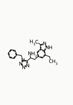 CCc1cc(CC(N)c2nnnn2Cc2ccccc2)cc2c(C)n[nH]c12